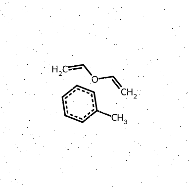 C=COC=C.Cc1ccccc1